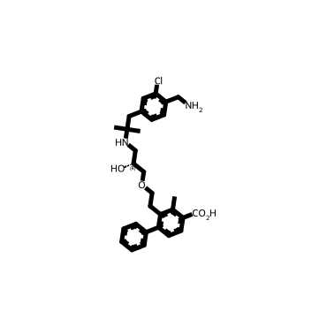 Cc1c(C(=O)O)ccc(-c2ccccc2)c1CCOC[C@H](O)CNC(C)(C)Cc1ccc(CN)c(Cl)c1